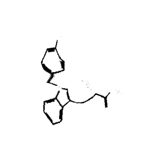 COC(=O)[C@@H](N)Cc1cn(Cc2ccc(C(F)(F)F)cc2)c2ccccc12